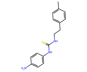 Cc1ccc(CCNC(=S)Nc2ccc(N)cc2)cc1